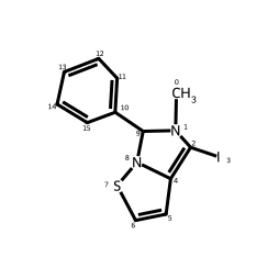 CN1C(I)=C2C=CSN2C1c1ccccc1